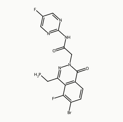 O=C(Cn1nc(CP)c2c(F)c(Br)ccc2c1=O)Nc1ncc(F)cn1